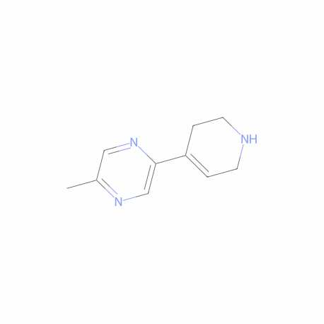 Cc1cnc(C2=CCNCC2)cn1